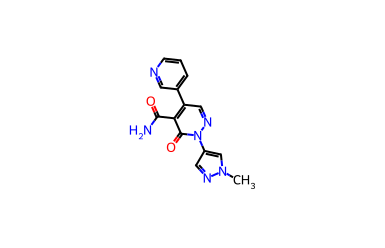 Cn1cc(-n2ncc(-c3cccnc3)c(C(N)=O)c2=O)cn1